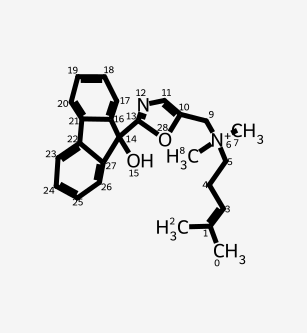 CC(C)=CCC[N+](C)(C)Cc1cnc(C2(O)c3ccccc3-c3ccccc32)o1